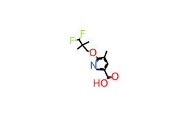 Cc1cc(C(=O)O)cnc1OCC(C)(C)C(F)F